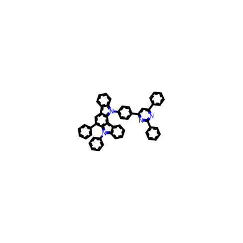 c1ccc(-c2cc(-c3ccc(-n4c5ccccc5c5cc(-c6ccccc6)c6c(c7ccccc7n6-c6ccccc6)c54)cc3)nc(-c3ccccc3)n2)cc1